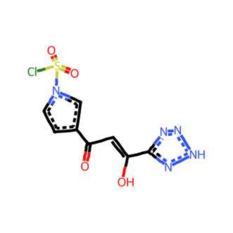 O=C(C=C(O)c1nn[nH]n1)c1ccn(S(=O)(=O)Cl)c1